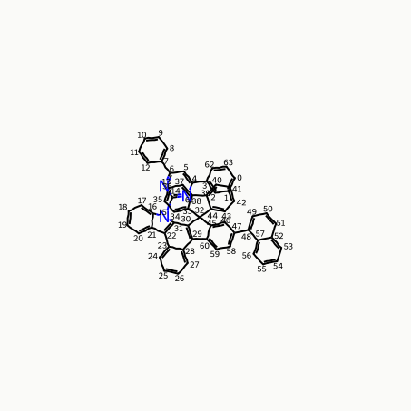 c1ccc(-c2cc(-c3ccccc3)nc(-n3c4ccccc4c4c5ccccc5c5c(c43)C3(c4ccccc4-c4ccccc43)c3cc(-c4cccc6ccccc46)ccc3-5)n2)cc1